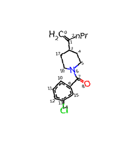 C=C(CCC)C1CCN(C(=O)c2cccc(Cl)c2)CC1